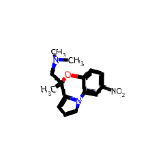 CN(C)CC1(C)Oc2ccc([N+](=O)[O-])cc2-n2cccc21